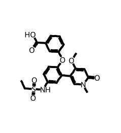 CCS(=O)(=O)Nc1ccc(Oc2cccc(C(=O)O)c2)c(-c2cn(C)c(=O)cc2OC)c1